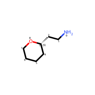 NCC[C@@H]1CCCCO1